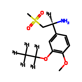 [2H]C([2H])([2H])C([2H])([2H])Oc1cc([C@]([2H])(N)CS(C)(=O)=O)ccc1OC